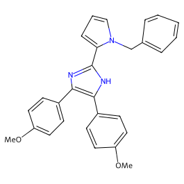 COc1ccc(-c2nc(-c3cccn3Cc3ccccc3)[nH]c2-c2ccc(OC)cc2)cc1